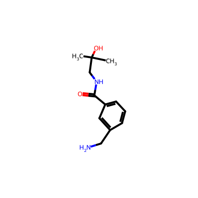 CC(C)(O)CNC(=O)c1cccc(CN)c1